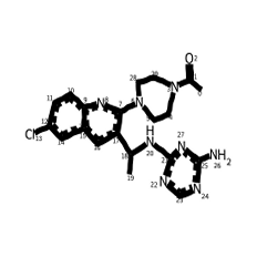 CC(=O)N1CCN(c2nc3ccc(Cl)cc3cc2C(C)Nc2ncnc(N)n2)CC1